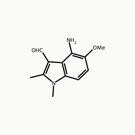 COc1ccc2c(c1N)c(C=O)c(C)n2C